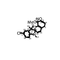 COC1([N+](=O)[O-])C=CCC2=C1OC1(C=C2)N(C)c2ccc(Cl)cc2C1(C)C